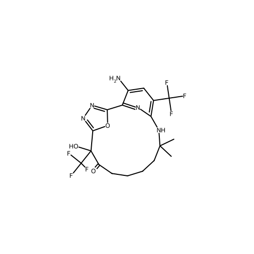 CC1(C)CCCCC(=O)C(O)(C(F)(F)F)c2nnc(o2)-c2nc(c(C(F)(F)F)cc2N)N1